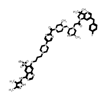 Cc1n[nH]c(Nc2ncnc3cc(OCCCN4CCN(c5cnc(C(=O)N6CCN(C[C@H]7CN[C@H](C)CN7CC(=O)N7CC(C)(C)c8ncc(Cc9ccc(F)cc9)cc87)[C@H](C)C6)nc5)CC4)c(S(=O)(=O)C(C)(C)C)cc23)c1C